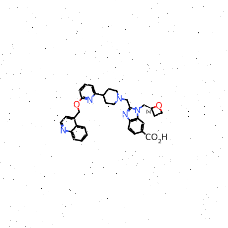 O=C(O)c1ccc2nc(CN3CCC(c4cccc(OCc5ccnc6ccccc56)n4)CC3)n(C[C@@H]3CCO3)c2c1